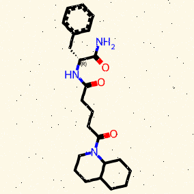 NC(=O)[C@@H](Cc1ccccc1)NC(=O)CCCC(=O)N1CCCC2CCCCC21